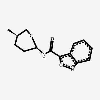 C[C@H]1CC[C@@H](NC(=O)c2onc3ccccc23)CC1